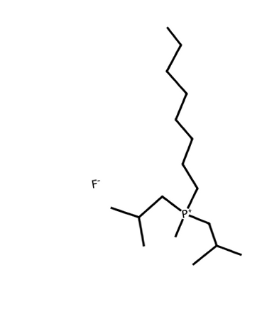 CCCCCCCC[P+](C)(CC(C)C)CC(C)C.[F-]